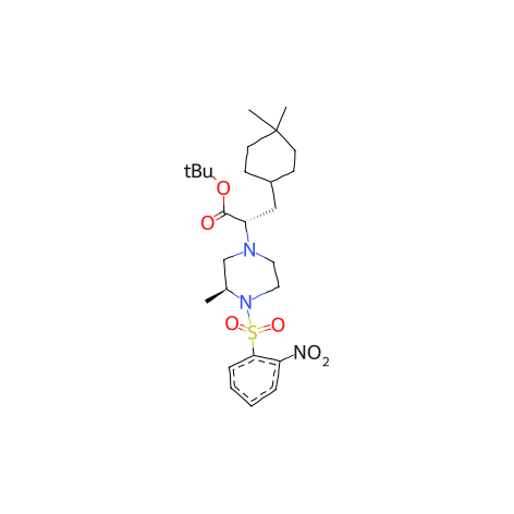 C[C@H]1CN([C@@H](CC2CCC(C)(C)CC2)C(=O)OC(C)(C)C)CCN1S(=O)(=O)c1ccccc1[N+](=O)[O-]